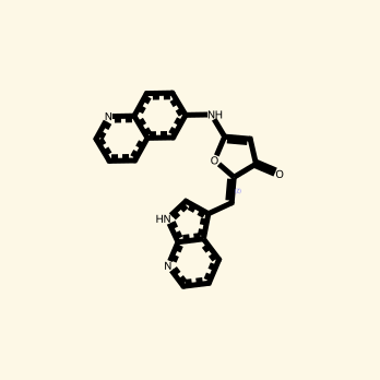 O=C1C=C(Nc2ccc3ncccc3c2)O/C1=C\c1c[nH]c2ncccc12